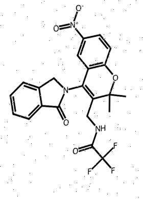 CC1(C)Oc2ccc([N+](=O)[O-])cc2C(N2Cc3ccccc3C2=O)=C1CNC(=O)C(F)(F)F